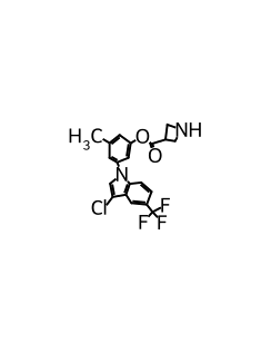 Cc1cc(OC(=O)C2CNC2)cc(-n2cc(Cl)c3cc(C(F)(F)F)ccc32)c1